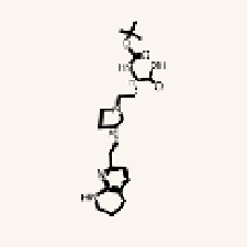 CC(C)(C)OC(=O)N[C@@H](CCN1CC[C@@H](CCc2ccc3c(n2)NCCC3)C1)C(=O)O